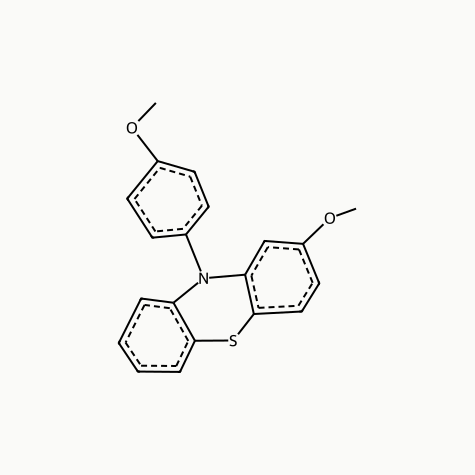 COc1ccc(N2c3ccccc3Sc3ccc(OC)cc32)cc1